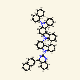 c1ccc2cc(-c3nc(-n4c5ccccc5c5c(-n6c7ccccc7c7c8c9ccccc9n(-c9cccc%10ccccc9%10)c8ccc76)cccc54)nc4ccccc34)ccc2c1